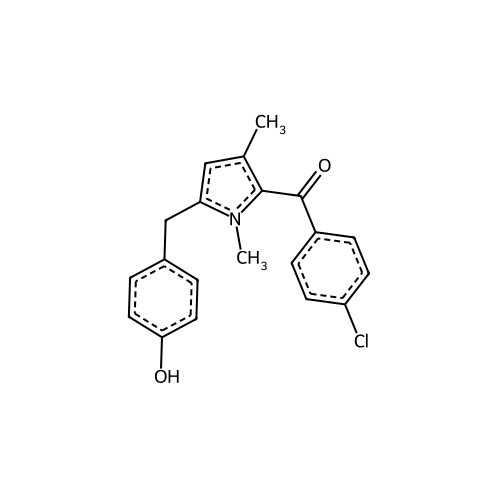 Cc1cc(Cc2ccc(O)cc2)n(C)c1C(=O)c1ccc(Cl)cc1